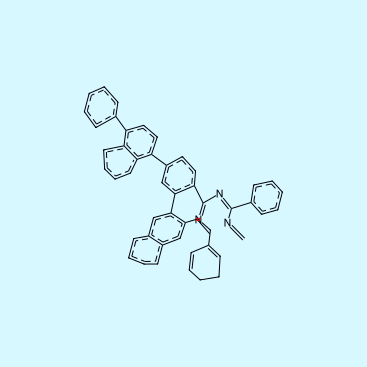 C=N/C(=N\C(=N/CC1=CCCC=C1)c1ccc(-c2ccc(-c3ccccc3)c3ccccc23)cc1-c1cc2ccccc2cc1CC)c1ccccc1